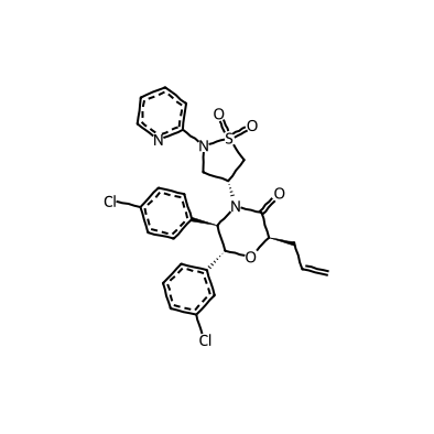 C=CC[C@H]1O[C@H](c2cccc(Cl)c2)[C@@H](c2ccc(Cl)cc2)N([C@@H]2CN(c3ccccn3)S(=O)(=O)C2)C1=O